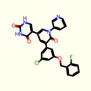 O=c1[nH]cc(-c2cc(-c3cc(Cl)cc(OCc4ccccc4F)c3)c(=O)n(-c3cccnc3)c2)c(=O)[nH]1